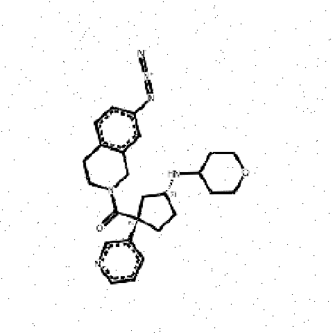 [N-]=[N+]=Nc1ccc2c(c1)CN(C(=O)[C@@]1(c3cccnc3)CC[C@@H](NC3CCOCC3)C1)CC2